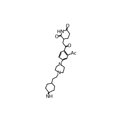 CC(=O)c1cc(N2CCN(CCC3CCC(=N)CC3)CC2)ccc1C(=O)CC1CCC(=O)NC1=O